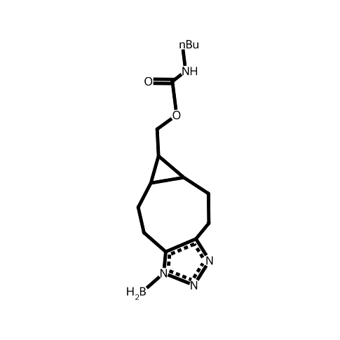 Bn1nnc2c1CCC1C(CC2)C1COC(=O)NCCCC